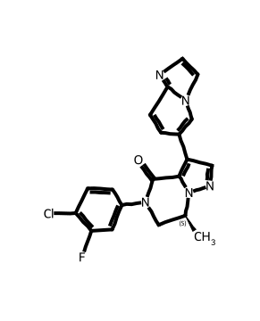 C[C@H]1CN(c2ccc(Cl)c(F)c2)C(=O)c2c(-c3ccc4nccn4c3)cnn21